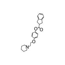 O=C(Oc1ccc(OCCN2CCCCC2)cc1)C1Cc2ccccc2C1